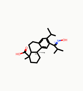 CC(C)/C(=N\O)c1cc2c(cc1C(C)C)CCC1C(C)(C(=O)O)CCC[C@]21C